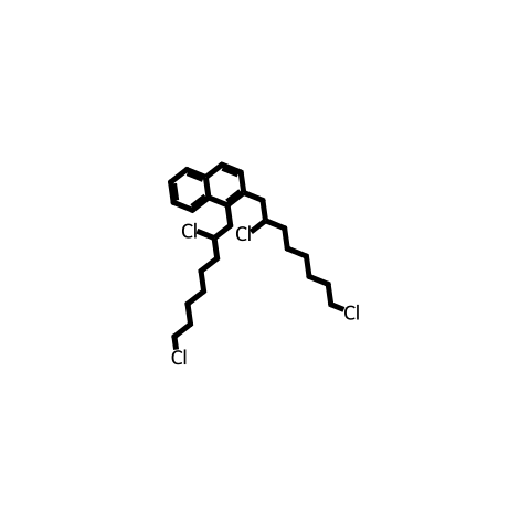 ClCCCCCCC(Cl)Cc1ccc2ccccc2c1CC(Cl)CCCCCCCl